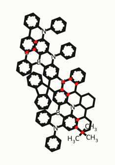 CC(C)(C)c1cc2c3c(c1)N(C1C(C4CCCCC4)CCCC1C1CCCCC1)c1cc4c(cc1B3c1ccccc1N2c1ccccc1)C1(c2ccccc2-c2ccccc21)c1cc2c(cc1N4c1ccccc1)N(c1ccccc1)c1cc(N(c3ccccc3)c3ccccc3-c3ccccc3)cc3c1B2c1ccccc1O3